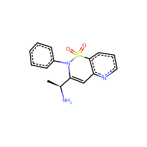 C[C@H](N)C1=Cc2ncccc2S(=O)(=O)N1c1ccccc1